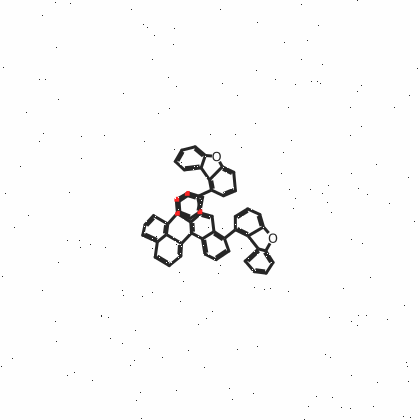 c1ccc(-c2cccc3cccc(-c4c5cccc(-c6cccc7oc8ccccc8c67)c5cc5c(-c6cccc7oc8ccccc8c67)cccc45)c23)cc1